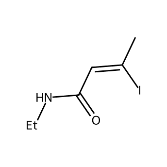 CCNC(=O)/C=C(/C)I